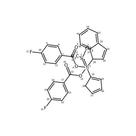 C[Si](C)=[Ti]([O]C(=O)c1ccc(F)cc1)([O]C(=O)c1ccc(F)cc1)([C]1=CC=CC1)[CH]1C=Cc2ccccc21